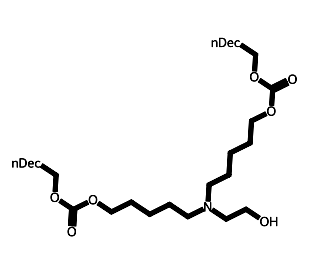 CCCCCCCCCCCOC(=O)OCCCCCN(CCO)CCCCCOC(=O)OCCCCCCCCCCC